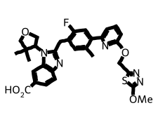 COc1nnc(COc2cccc(-c3cc(F)c(Cc4nc5ccc(C(=O)O)cc5n4C4COCC4(C)C)cc3C)n2)s1